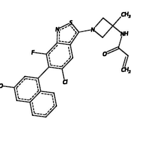 C=CC(=O)NC1(C)CN(c2snc3c(F)c(-c4cc(O)cc5ccccc45)c(Cl)cc23)C1